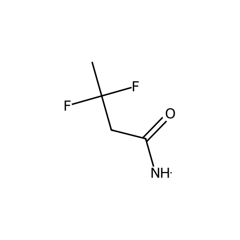 CC(F)(F)CC([NH])=O